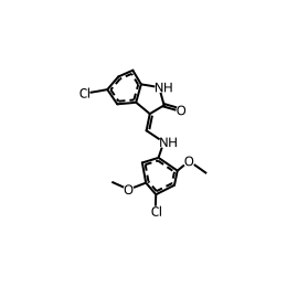 COc1cc(NC=C2C(=O)Nc3ccc(Cl)cc32)c(OC)cc1Cl